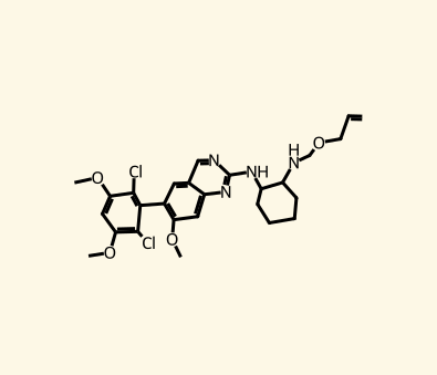 C=CCOCNC1CCCCC1Nc1ncc2cc(-c3c(Cl)c(OC)cc(OC)c3Cl)c(OC)cc2n1